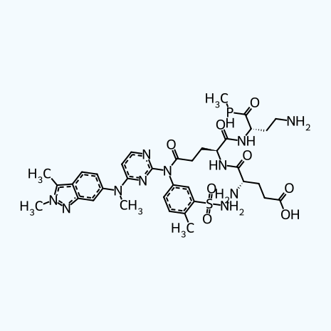 CPC(=O)[C@H](CCN)NC(=O)[C@H](CCC(=O)N(c1ccc(C)c(S(N)(=O)=O)c1)c1nccc(N(C)c2ccc3c(C)n(C)nc3c2)n1)NC(=O)[C@@H](N)CCC(=O)O